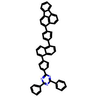 c1ccc(-c2nc(-c3ccccc3)nc(-c3ccc(-c4cccc5c(-c6ccc(-c7ccc8c9c(cccc79)-c7ccccc7-8)cc6)cccc45)cc3)n2)cc1